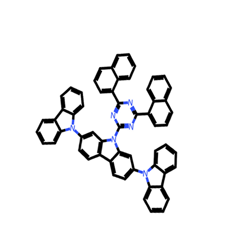 c1ccc2c(-c3nc(-c4cccc5ccccc45)nc(-n4c5cc(-n6c7ccccc7c7ccccc76)ccc5c5ccc(-n6c7ccccc7c7ccccc76)cc54)n3)cccc2c1